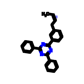 C/C=C\Cc1cccc(-c2nc(-c3ccccc3)nc(-c3ccccc3)n2)c1